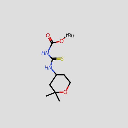 CC(C)(C)OC(=O)NC(=S)NC1CCOC(C)(C)C1